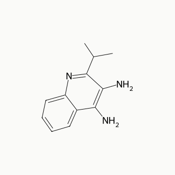 CC(C)c1nc2ccccc2c(N)c1N